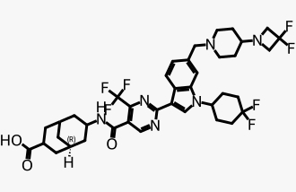 O=C(NC1CC2CC(C(=O)O)C[C@@H](C2)C1)c1cnc(-c2cn(C3CCC(F)(F)CC3)c3cc(CN4CCC(N5CC(F)(F)C5)CC4)ccc23)nc1C(F)(F)F